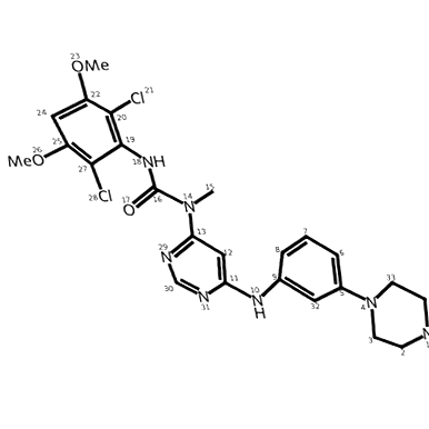 CCN1CCN(c2cccc(Nc3cc(N(C)C(=O)Nc4c(Cl)c(OC)cc(OC)c4Cl)ncn3)c2)CC1